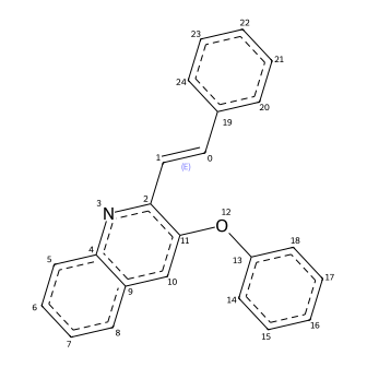 C(=C\c1nc2ccccc2cc1Oc1ccccc1)/c1ccccc1